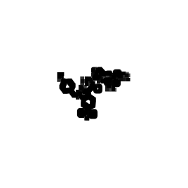 CCOP(=O)(Cc1csc(NC(=O)c2nn(Cc3ccc(F)cc3)c3cc(S(C)(=O)=O)ccc23)n1)OCC